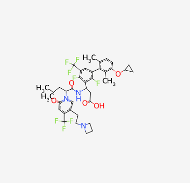 Cc1ccc(OC2CC2)c(C)c1-c1cc(C(F)(F)F)c(F)c(C(CC(=O)O)NC(=O)C(CC(C)C)n2cc(CCN3CCC3)c(C(F)(F)F)cc2=O)c1F